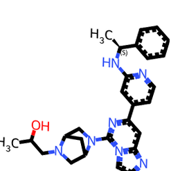 CC(O)CN1CC2CC1CN2c1nc(-c2ccnc(N[C@@H](C)c3ccccc3)c2)cc2nccn12